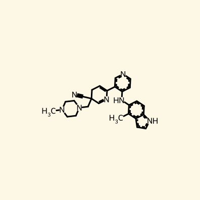 Cc1c(Nc2ccncc2C2=CCC(C#N)(CN3CCN(C)CC3)C=N2)ccc2[nH]ccc12